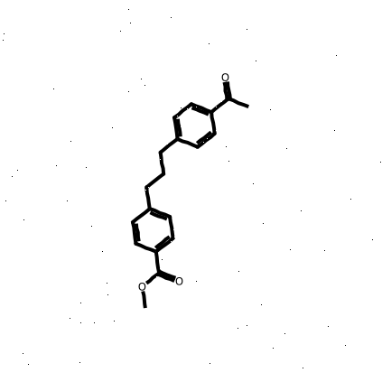 COC(=O)c1ccc(CCCc2ccc(C(C)=O)cc2)cc1